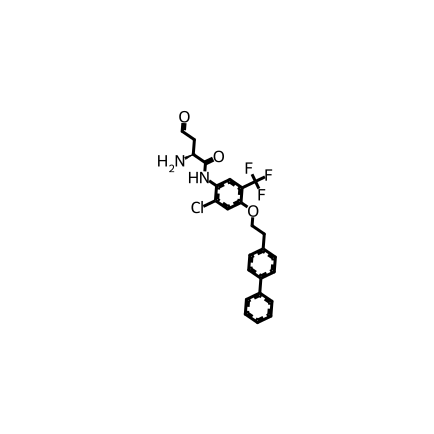 N[C@@H](CC=O)C(=O)Nc1cc(C(F)(F)F)c(OCCc2ccc(-c3ccccc3)cc2)cc1Cl